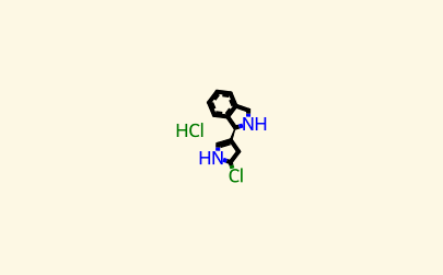 Cl.ClC1CC([C@@H]2NCc3ccccc32)=CN1